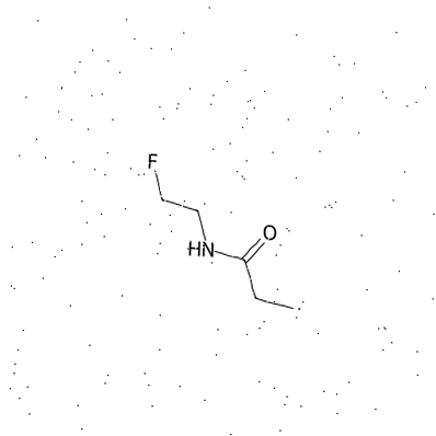 [CH2]CC(=O)NCCF